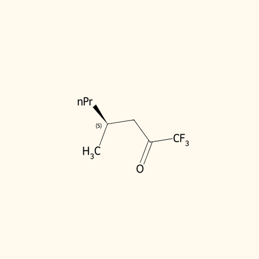 CCC[C@H](C)CC(=O)C(F)(F)F